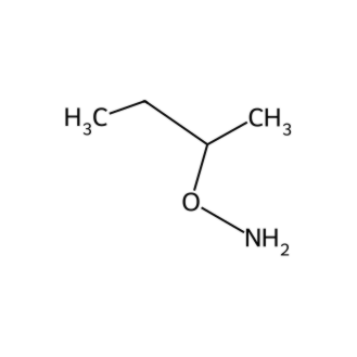 CCC(C)ON